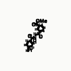 COC(=O)c1cccc(C(=O)CNC(=O)c2ccc(C(C)C)cc2)c1